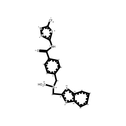 O=C(Nc1nnc(C(F)(F)F)s1)c1ccc(CN(Cc2nc3ccccc3s2)C(=O)O)cc1